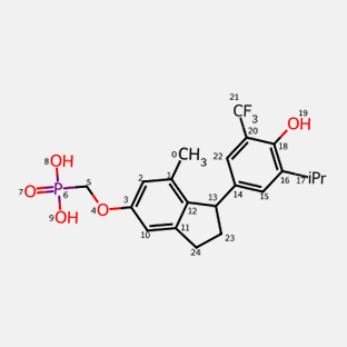 Cc1cc(OCP(=O)(O)O)cc2c1C(c1cc(C(C)C)c(O)c(C(F)(F)F)c1)CC2